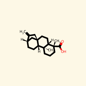 C=C1C[C@@]23CC[C@H]4[C@@](C)(CCC[C@@]4(C)C(=O)O)[C@@H]2CC[C@H]1C3